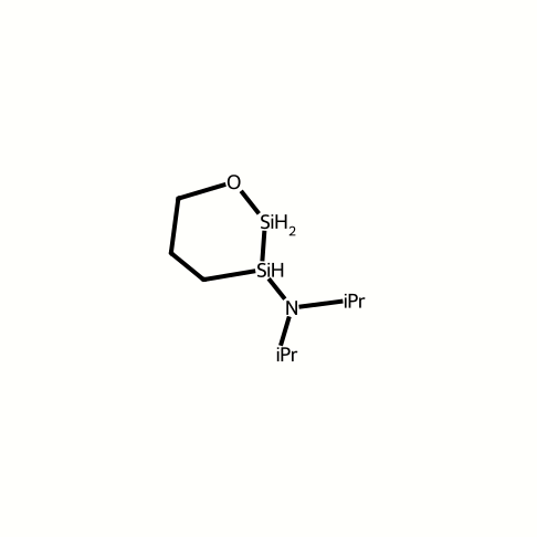 CC(C)N(C(C)C)[SiH]1CCCO[SiH2]1